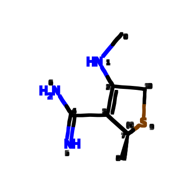 CNC1=C(C(=N)N)[C@H](C)SC1